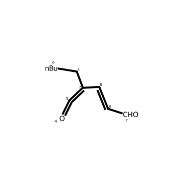 CCCCCC(=C=O)/C=C/C=O